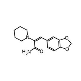 NC(=O)/C(=C\c1ccc2c(c1)OCO2)N1CCCCC1